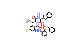 CC(C)C[C@@H]1C(=O)NC(C2Cc3ccccc3C2)C(=O)N1[C@@H](C(=O)Nc1ccccc1OCc1ccccc1)c1ccc(F)cc1